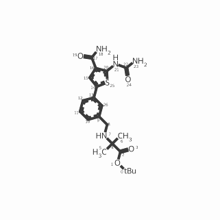 CC(C)(C)OC(=O)C(C)(C)NCc1cccc(-c2cc(C(N)=O)c(NC(N)=O)s2)c1